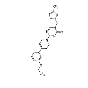 O=c1nc(N2CC=C(c3cccc(OCC(F)(F)F)n3)CC2)ncn1Cc1ccc(C(F)(F)F)s1